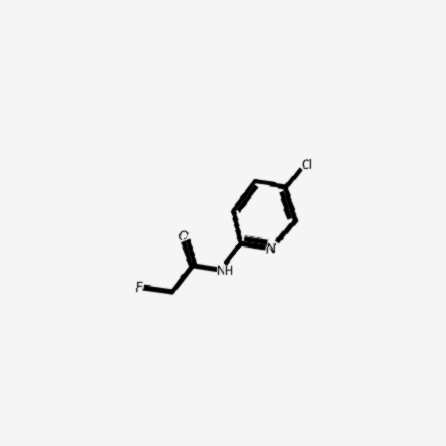 O=C(CF)Nc1ccc(Cl)cn1